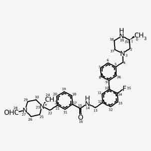 C[C@H]1CN(Cc2cccc(-c3cc(CNC(=O)c4cccc(C[N+]5(C)CCN(C=O)CC5)c4)ccc3F)c2)CCN1